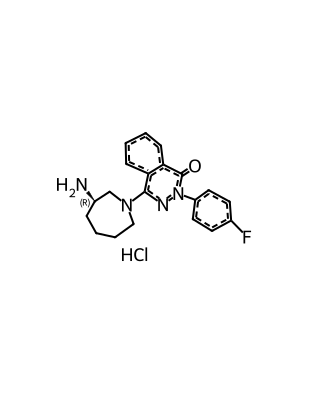 Cl.N[C@@H]1CCCCN(c2nn(-c3ccc(F)cc3)c(=O)c3ccccc23)C1